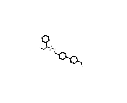 CC(=O)NCc1ccc(-c2ccc(CNS(=O)(=O)C(CC(C)C)c3ccccc3)cc2)cc1